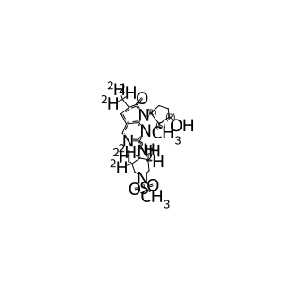 [2H]C([2H])([2H])c1cc2cnc(NC3([2H])C([2H])([2H])CN(S(C)(=O)=O)CC3([2H])[2H])nc2n([C@@H]2CC[C@@H](O)[C@H]2C)c1=O